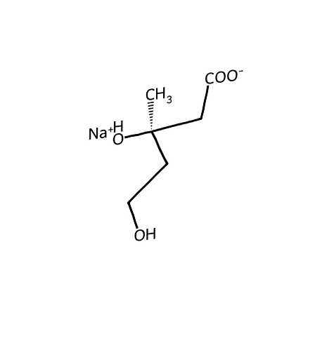 C[C@@](O)(CCO)CC(=O)[O-].[Na+]